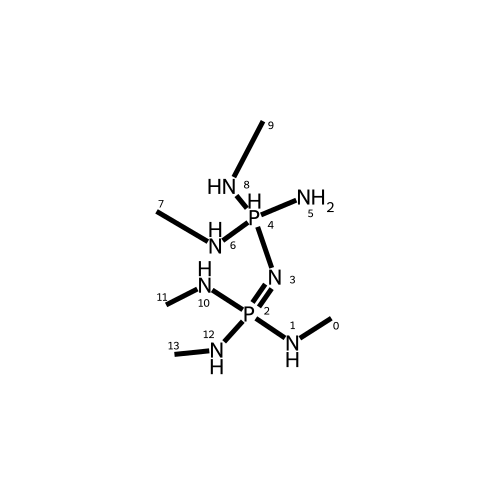 CNP(=N[PH](N)(NC)NC)(NC)NC